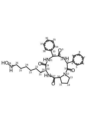 O=C1NC(c2ccccc2)C(=O)N2CCCC2C(=O)N[C@@H](CCCCCCNO)C(=O)NC1c1ccccc1